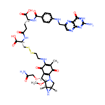 CO[C@@]12[C@H](OCC(N)=O)C3=C(C(=O)C(C)=C(NCCSSC[C@@H](NC(=O)CC[C@@H](NC(=O)c4ccc(NCc5cnc6nc(N)[nH]c(=O)c6n5)cc4)C(=O)O)C(=O)O)C3=O)N1C[C@@H]1N[C@@H]12